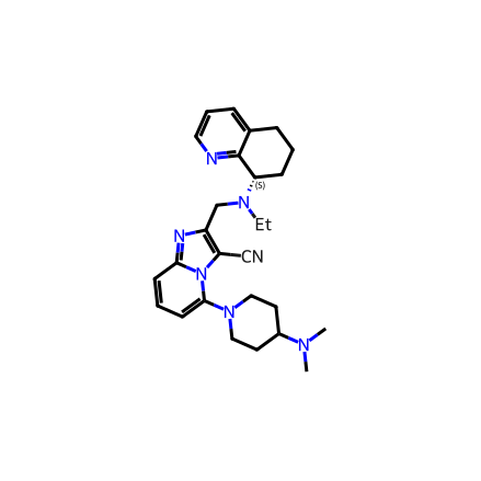 CCN(Cc1nc2cccc(N3CCC(N(C)C)CC3)n2c1C#N)[C@H]1CCCc2cccnc21